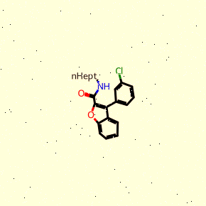 CCCCCCCNC(=O)c1oc2ccccc2c1-c1cccc(Cl)c1